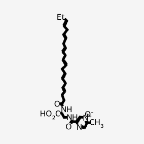 CCC=CCC=CCC=CCC=CCC=CCC=CCCC(=O)NC(CNC(=O)c1c[n+]([O-])c(C)cn1)C(=O)O